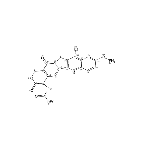 CCCC(=O)OC1C(=O)OCc2c1cc1n(c2=O)Cc2c-1nc1ccc(OP)cc1c2CC